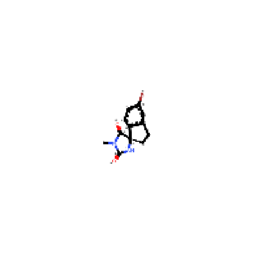 CN1C(=O)N[C@]2(CCc3cc(Br)ccc32)C1=O